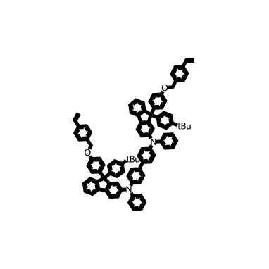 C=Cc1ccc(COc2ccc(C3(c4ccc(C(C)(C)C)cc4)c4ccccc4-c4ccc(N(c5ccccc5)c5ccc(-c6ccc(N(c7ccccc7)c7ccc8c(c7)C(c7ccc(OCc9ccc(C=C)cc9)cc7)(c7ccc(C(C)(C)C)cc7)c7ccccc7-8)cc6)cc5)cc43)cc2)cc1